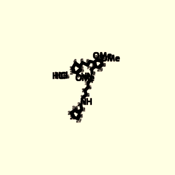 COc1cccc(CCCc2c(CCNCCCCCCNCCc3ccccc3)ccc(OC)c2OC)c1.Cl.Cl